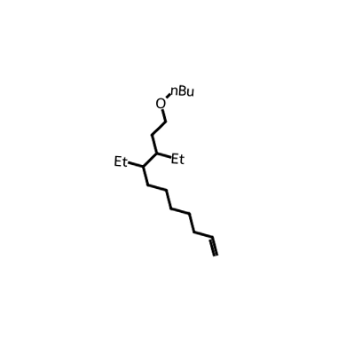 C=CCCCCCC(CC)C(CC)CCOCCCC